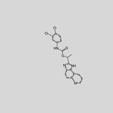 CC(OC(=O)Nc1ccc(Cl)c(Cl)c1)c1nc2ccc3ncccc3c2[nH]1